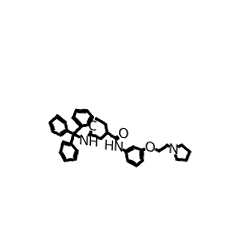 O=C(Nc1cccc(OCCN2CCCC2)c1)C1CCCC(NC(c2ccccc2)(c2ccccc2)c2ccccc2)C1